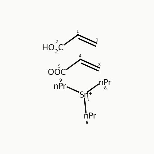 C=CC(=O)O.C=CC(=O)[O-].CC[CH2][Sn+]([CH2]CC)[CH2]CC